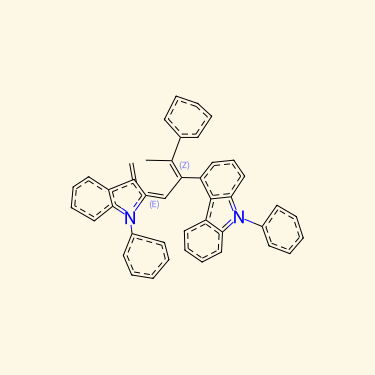 C=c1/c(=C\C(=C(/C)c2ccccc2)c2cccc3c2c2ccccc2n3-c2ccccc2)n(-c2ccccc2)c2ccccc12